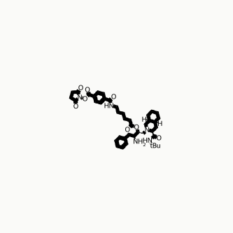 CC(C)(C)NC(=O)[C@@H]1C[C@@H]2CCCC[C@@H]2CN1C[C@@H](OC(=O)CCCCCNC(=O)c1ccc(C(=O)ON2C(=O)CCC2=O)cc1)[C@@H](N)Cc1ccccc1